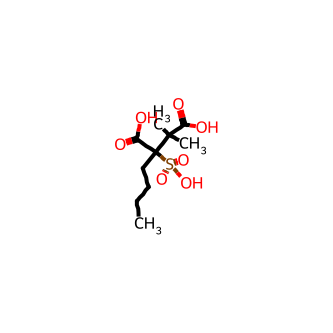 CCCCC(C(=O)O)(C(C)(C)C(=O)O)S(=O)(=O)O